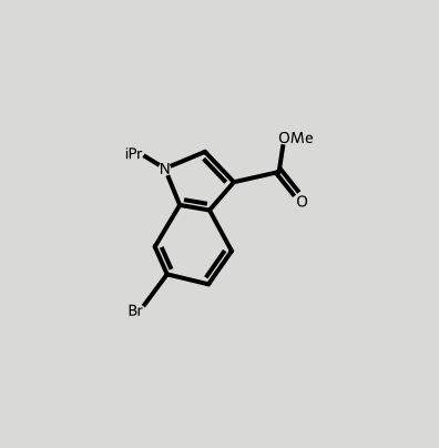 COC(=O)c1cn(C(C)C)c2cc(Br)ccc12